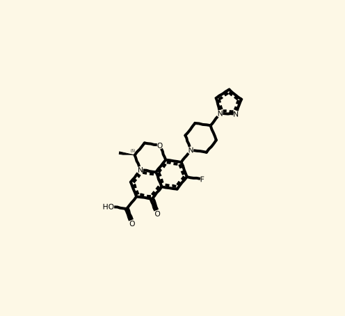 C[C@H]1COc2c(N3CCC(n4cccn4)CC3)c(F)cc3c(=O)c(C(=O)O)cn1c23